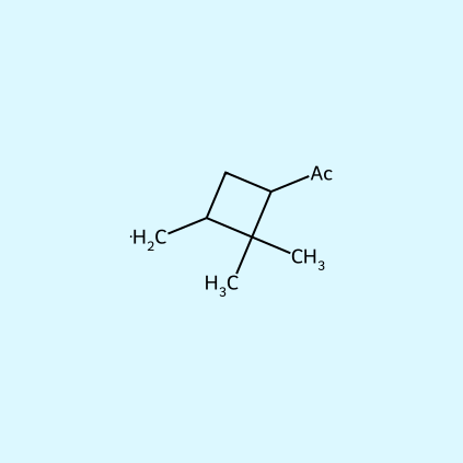 [CH2]C1CC(C(C)=O)C1(C)C